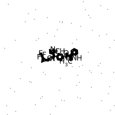 Cc1[nH]c2ccccc2c1C(=O)N[C@H]1CC[C@H](/C(=N/OCC2CC2C(F)(F)F)c2ccnn2C)CC1